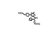 Cc1nc(NC(COC=O)c2cncs2)cc(N2CCN(CCO)CC2)n1